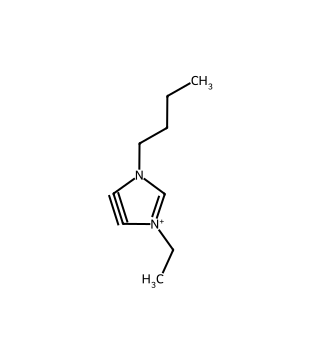 CCCCn1c#c[n+](CC)c1